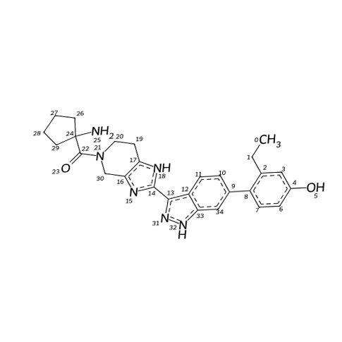 CCc1cc(O)ccc1-c1ccc2c(-c3nc4c([nH]3)CCN(C(=O)C3(N)CCCC3)C4)n[nH]c2c1